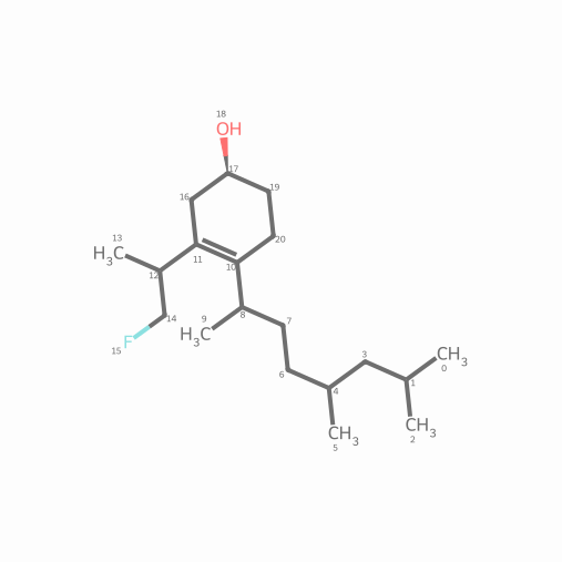 CC(C)CC(C)CCC(C)C1=C(C(C)CF)C[C@@H](O)CC1